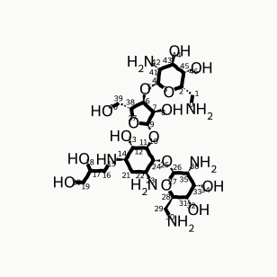 NC[C@@H]1O[C@H](O[C@H]2[C@@H](O)[C@H](O[C@@H]3[C@@H](O)[C@H](NCC(O)CO)C[C@H](N)[C@H]3O[C@H]3O[C@H](CN)[C@@H](O)[C@@H](O)[C@H]3N)O[C@@H]2CO)[C@H](N)[C@@H](O)[C@@H]1O